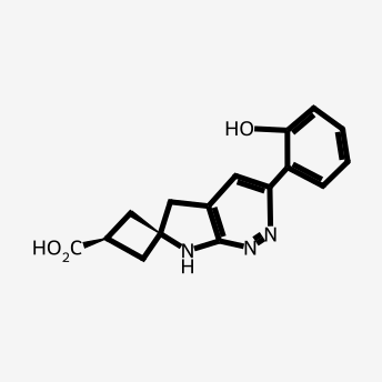 O=C(O)[C@H]1C[C@]2(Cc3cc(-c4ccccc4O)nnc3N2)C1